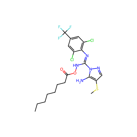 CCCCCCCC(=O)ONC(=Nc1c(Cl)cc(C(F)(F)F)cc1Cl)n1ncc(SC)c1N